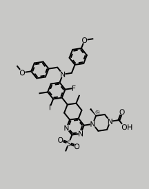 COc1ccc(CN(Cc2ccc(OC)cc2)c2cc(C)c(I)c(C3Cc4nc(S(C)(=O)=O)nc(N5CCN(C(=O)O)C[C@@H]5C)c4CC3C)c2F)cc1